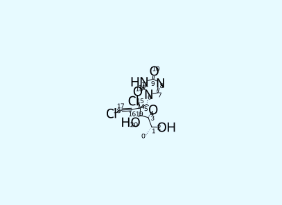 C[C@@H](O)[C@H]1O[C@@H](n2cnc(=O)[nH]c2=O)[C@@](Cl)(C#CCl)C1O